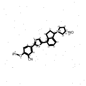 CC(C)Oc1ccc(-c2ncc(-c3cccc4c3CCC4N3CC[C@H](N=O)C3)s2)cc1C#N